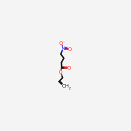 C=CCOC(=O)CCC[N+](=O)[O-]